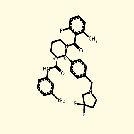 Cc1cccc(F)c1C(=O)N1CCC[C@H](C(=O)Nc2cccc(C(C)(C)C)c2)[C@@H]1c1ccc(CN2CCC(F)(F)C2)cc1